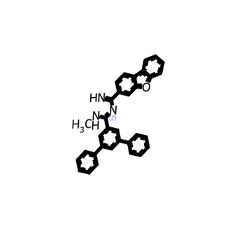 CN/C(=N\C(=N)c1ccc2c(c1)oc1ccccc12)c1cc(-c2ccccc2)cc(-c2ccccc2)c1